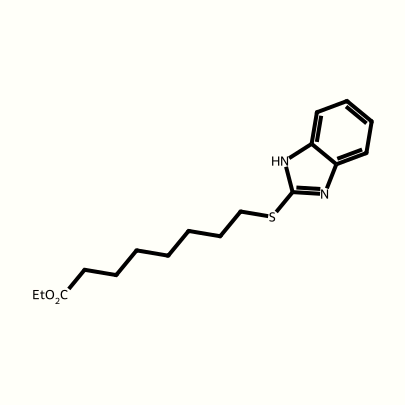 CCOC(=O)CCCCCCCSc1nc2ccccc2[nH]1